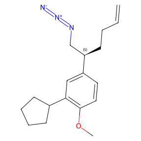 C=CCC[C@H](CN=[N+]=[N-])c1ccc(OC)c(C2CCCC2)c1